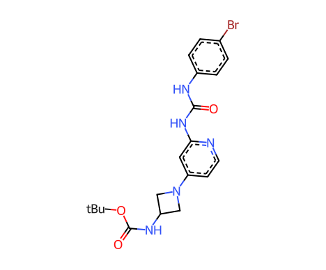 CC(C)(C)OC(=O)NC1CN(c2ccnc(NC(=O)Nc3ccc(Br)cc3)c2)C1